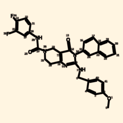 COc1ccc(CNc2nc3c(c(=O)n2-c2ccc4ccccc4c2)CN(C(=O)Nc2ccc(F)c(F)c2)CC3)cc1